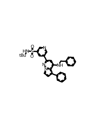 CC(C)(C)NS(=O)(=O)c1cncc(-c2cc(NCc3ccccc3)c3c(-c4ccccc4)ccn3n2)c1